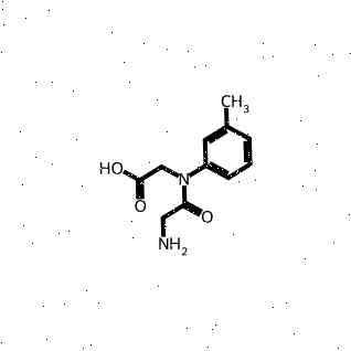 Cc1cccc(N(CC(=O)O)C(=O)CN)c1